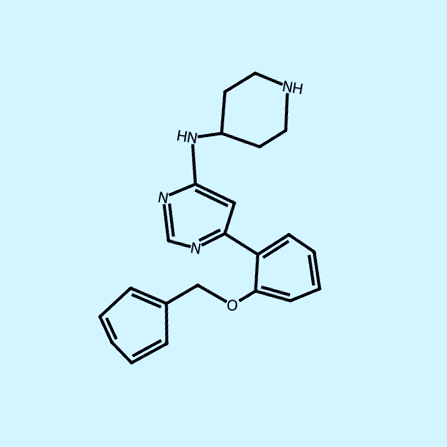 c1ccc(COc2ccccc2-c2cc(NC3CCNCC3)ncn2)cc1